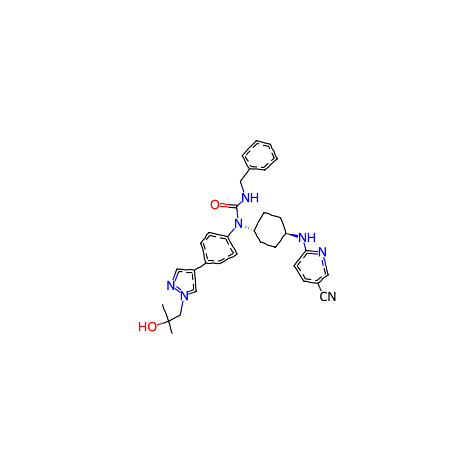 CC(C)(O)Cn1cc(-c2ccc(N(C(=O)NCc3ccccc3)[C@H]3CC[C@H](Nc4ccc(C#N)cn4)CC3)cc2)cn1